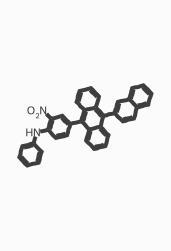 O=[N+]([O-])c1cc(-c2c3ccccc3c(-c3ccc4ccccc4c3)c3ccccc23)ccc1Nc1ccccc1